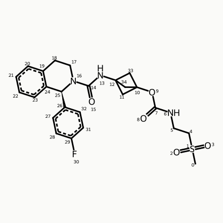 CS(=O)(=O)CCNC(=O)OC12CC(NC(=O)N3CCc4ccccc4[C@@H]3c3ccc(F)cc3)(C1)C2